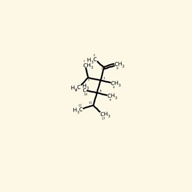 C=C(C)C(C)(C(C)C)C(C)(C)C(C)C